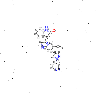 Cc1cn2c(-c3cc(=O)[nH]c4ccccc34)cnc2cc1-c1cnn(C2CCNCC2)c1